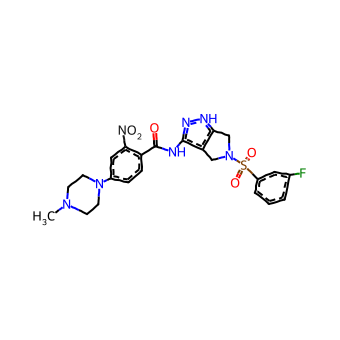 CN1CCN(c2ccc(C(=O)Nc3n[nH]c4c3CN(S(=O)(=O)c3cccc(F)c3)C4)c([N+](=O)[O-])c2)CC1